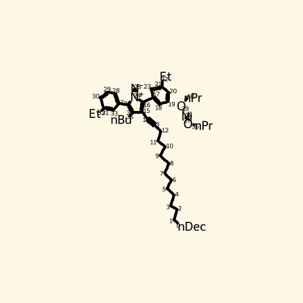 CCCCCCCCCCCCCCCCCCCCCCC#CC1=C(c2cccc(CC)c2)[N+](=[N-])C(c2cccc(CC)c2)=C1CCCC.CCC[O][Ni][O]CCC